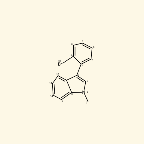 Cn1cc(-c2ccccc2Br)c2ccccc21